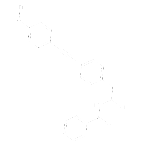 CCOc1ccc(C#Cc2ccc(CC(C)NC(=O)c3ccccc3)cc2)cc1